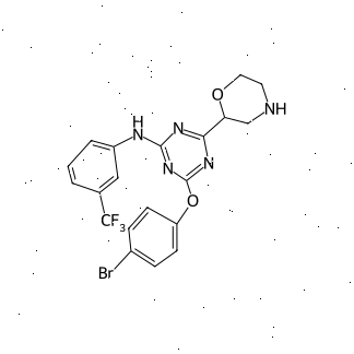 FC(F)(F)c1cccc(Nc2nc(Oc3ccc(Br)cc3)nc(C3CNCCO3)n2)c1